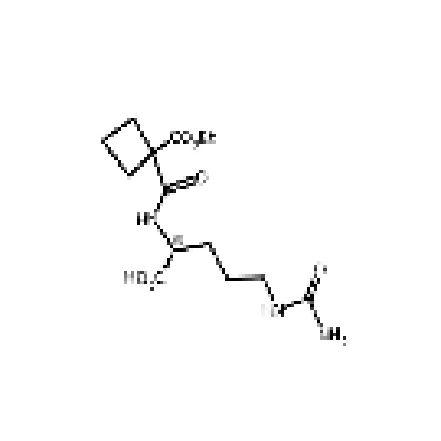 CCOC(=O)C1(C(=O)N[C@@H](CCCNC(N)=O)C(=O)O)CCC1